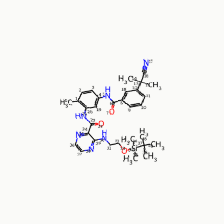 Cc1ccc(NC(=O)c2cccc(C(C)(C)C#N)c2)cc1NC(=O)c1nccnc1NCCO[Si](C)(C)C(C)(C)C